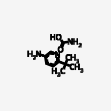 CC(C)(C)c1ccc(N)cn1.NC(=O)O